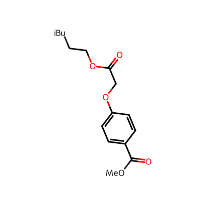 CCC(C)CCOC(=O)COc1ccc(C(=O)OC)cc1